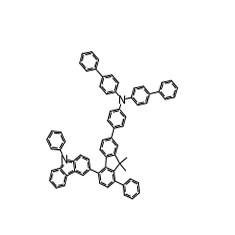 CC1(C)c2cc(-c3ccc(N(c4ccc(-c5ccccc5)cc4)c4ccc(-c5ccccc5)cc4)cc3)ccc2-c2c(-c3ccc4c(c3)c3ccccc3n4-c3ccccc3)ccc(-c3ccccc3)c21